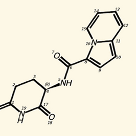 O=C1CC[C@@H](NC(=O)c2ccc3ccccn23)C(=O)N1